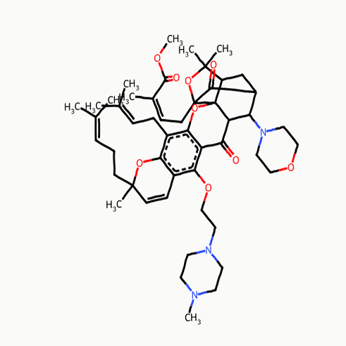 COC(=O)/C(C)=C\CC12OC(C)(C)C3CC(C1=O)C(N1CCOCC1)C1C(=O)c4c(OCCN5CCN(C)CC5)c5c(c(CC=C(C)C)c4OC132)OC(C)(CCC=C(C)C)C=C5